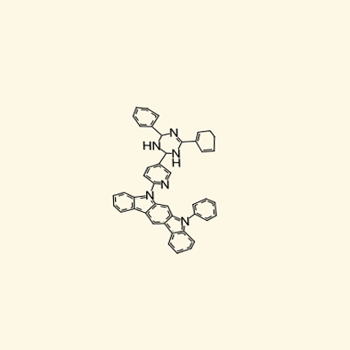 C1=CC(C2=NC(c3ccccc3)NC(c3ccc(-n4c5ccccc5c5cc6c7ccccc7n(-c7ccccc7)c6cc54)nc3)N2)=CCC1